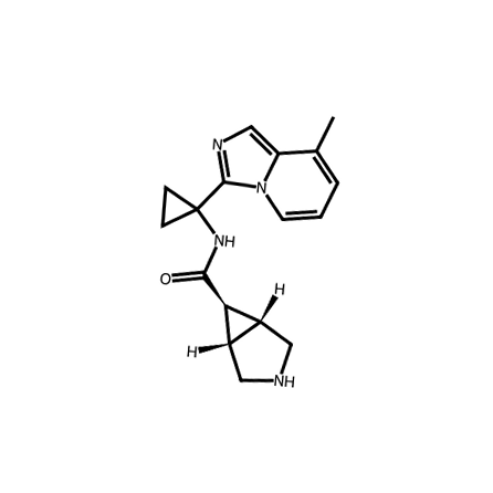 Cc1cccn2c(C3(NC(=O)[C@H]4[C@@H]5CNC[C@@H]54)CC3)ncc12